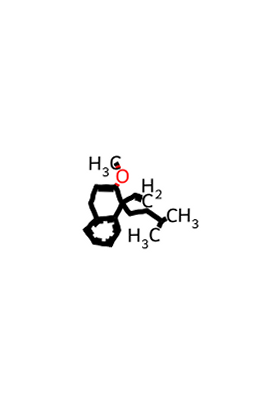 C=CC1(CCC(C)C)C(OC)=CCc2ccccc21